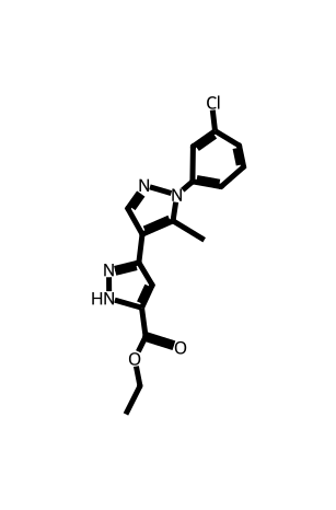 CCOC(=O)c1cc(-c2cnn(-c3cccc(Cl)c3)c2C)n[nH]1